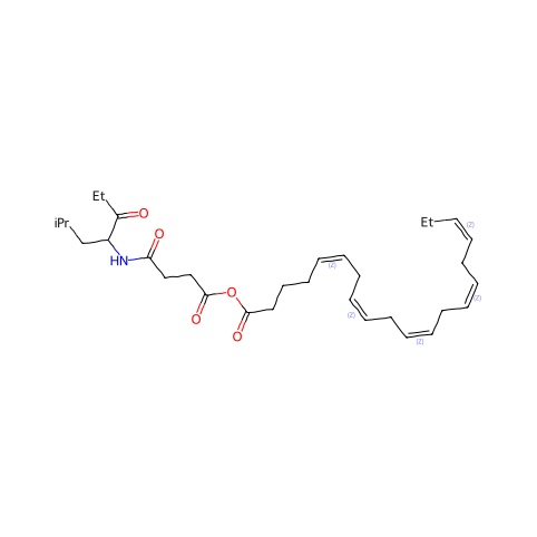 CC/C=C\C/C=C\C/C=C\C/C=C\C/C=C\CCCC(=O)OC(=O)CCC(=O)NC(CC(C)C)C(=O)CC